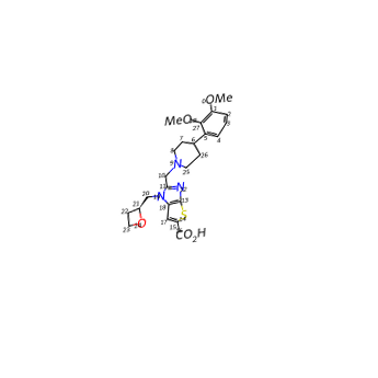 COc1cccc(C2CCN(Cc3nc4sc(C(=O)O)cc4n3C[C@@H]3CCO3)CC2)c1OC